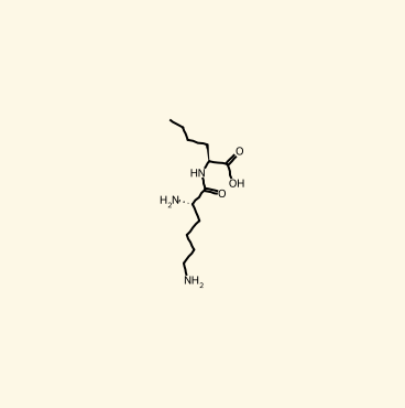 CCCC[C@H](NC(=O)[C@@H](N)CCCCN)C(=O)O